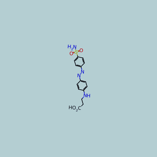 NS(=O)(=O)c1ccc(N=Nc2ccc(NCCC(=O)O)cc2)cc1